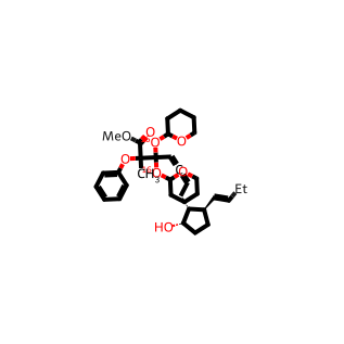 CC/C=C/[C@H]1CC[C@H](O)[C@@H]1CC=C=CC([16O]C1CCCCO1)([16O]C1CCCCO1)C(C)(Oc1ccccc1)C(=O)OC